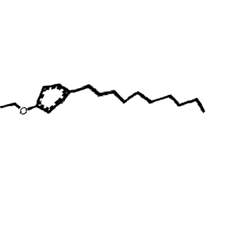 CCCCCCCCCCc1ccc(OCC)cc1